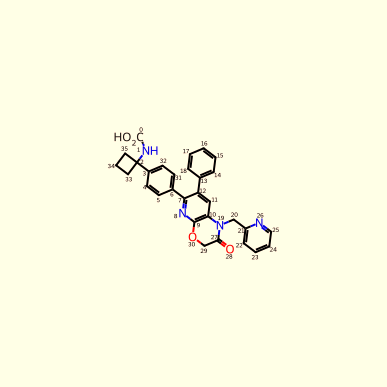 O=C(O)NC1(c2ccc(-c3nc4c(cc3-c3ccccc3)N(Cc3ccccn3)C(=O)CO4)cc2)CCC1